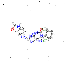 CC(=O)N(C)c1ccc(Nc2ncc3c(=N)n(-c4c(Cl)cccc4Cl)c(=O)[nH]c3n2)cc1